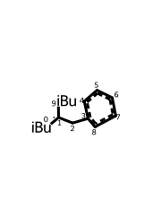 CCC(C)[C](Cc1ccccc1)C(C)CC